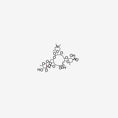 CON=C1C[C@@H](C)O[C@@H](O[C@@H]2[C@@H](C)[C@H](O[C@H]3CC(C)N(C)C[C@H](C)O3)[C@@H](C)C(=O)O[C@H]([C@@H](C)CO[C@@H]3O[C@H](C)[C@@H](O)[C@@H](OC)[C@H]3OC)[C@H](C)[C@@H](OC(=O)CC(C)C)[C@@H](C)C(=O)[C@@](C)(O)C[C@@H]2C)[C@@H]1O